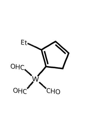 CCC1=[C]([W]([CH]=O)([CH]=O)[CH]=O)CC=C1